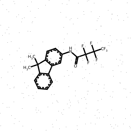 CC1(C)c2ccccc2-c2cc(NC(=O)C(F)(F)C(F)(F)C(F)(F)F)ccc21